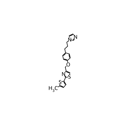 Cc1ccc(-c2nc(COc3ccc(CCCn4ccnc4)cc3)cs2)s1